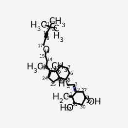 C=C1/C(=C\C[C@@H]2CCC[C@]3(C)C([C@H](C)CCOCC#CC(C)(C)C)=CC[C@@H]23)C[C@@H](O)CC1O